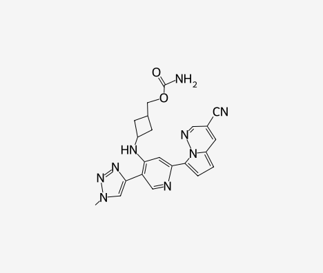 Cn1cc(-c2cnc(-c3ccc4cc(C#N)cnn34)cc2NC2CC(COC(N)=O)C2)nn1